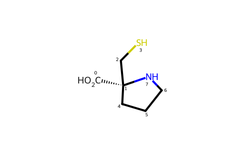 O=C(O)[C@@]1(CS)CCCN1